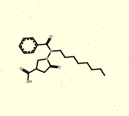 CCCCCCCCN(C(=O)c1ccccc1)N1CC(C(=O)O)CC1=O